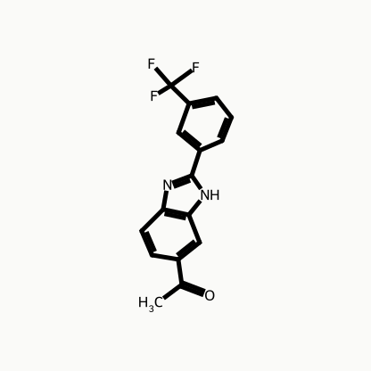 CC(=O)c1ccc2nc(-c3cccc(C(F)(F)F)c3)[nH]c2c1